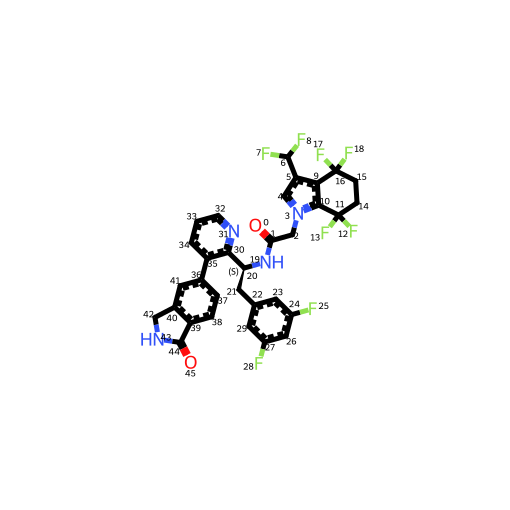 O=C(Cn1cc(C(F)F)c2c1C(F)(F)CCC2(F)F)N[C@@H](Cc1cc(F)cc(F)c1)c1ncccc1-c1ccc2c(c1)CNC2=O